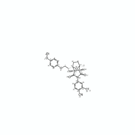 CCOc1ccc(OCC[C@]23CC[C@](C)(O2)[C@@H]2C(=O)N(c4ccc(C#N)c(C(F)(F)F)c4)C(=O)[C@@H]23)cc1